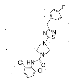 O=C(Nc1c(Cl)cccc1Cl)N1CCN(c2nc(Cc3ccc(F)cc3)ns2)CC1